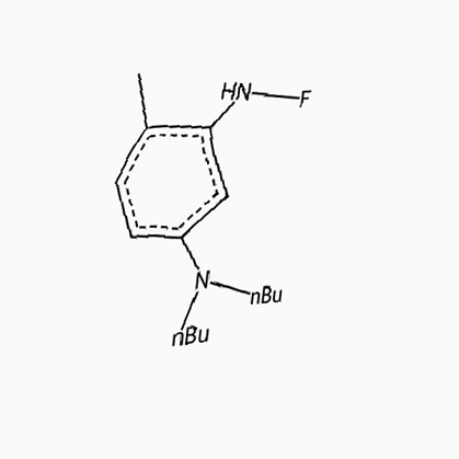 CCCCN(CCCC)c1ccc(C)c(NF)c1